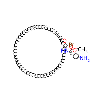 CCOC(=O)[C@H](Cc1ccc(N)cc1)NC1=C(Br)C(=O)C12CCCCCCCCCCCCCCCCCCCCCCCCCCCCCCCCCCCCCCCCCCCCCCCCCCC2